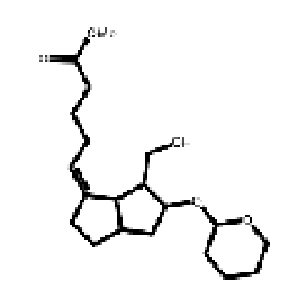 COC(=O)CCCC=C1CCC2CC(OC3CCCCO3)C(CO)C12